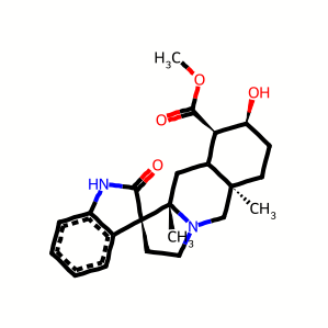 COC(=O)[C@@H]1C2C[C@]3(C)N(CC[C@@]34C(=O)Nc3ccccc34)C[C@]2(C)CC[C@@H]1O